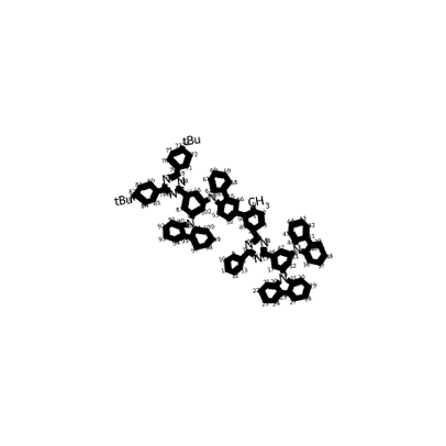 Cc1ccc(-c2nc(-c3ccccc3)nc(-c3cc(-n4c5ccccc5c5ccccc54)cc(-n4c5ccccc5c5ccccc54)c3)n2)cc1-c1ccc2c(c1)c1ccccc1n2-c1cc(-c2nc(-c3ccc(C(C)(C)C)cc3)nc(-c3ccc(C(C)(C)C)cc3)n2)cc(-n2c3ccccc3c3ccccc32)c1